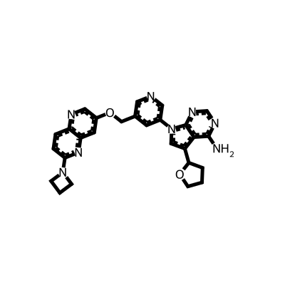 Nc1ncnc2c1c(C1CCCO1)cn2-c1cncc(COc2cnc3ccc(N4CCC4)nc3c2)c1